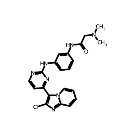 CN(C)CC(=O)Nc1cccc(Nc2nccc(-c3c(Cl)nc4ccccn34)n2)c1